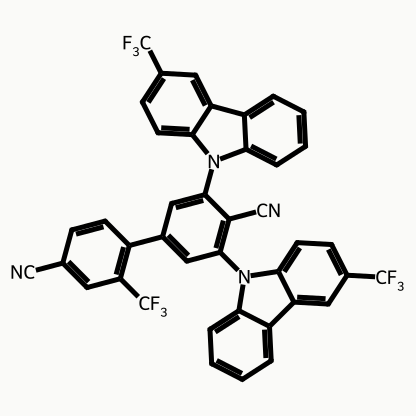 N#Cc1ccc(-c2cc(-n3c4ccccc4c4cc(C(F)(F)F)ccc43)c(C#N)c(-n3c4ccccc4c4cc(C(F)(F)F)ccc43)c2)c(C(F)(F)F)c1